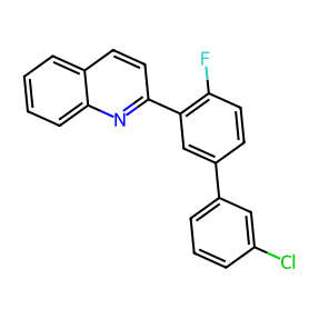 Fc1ccc(-c2cccc(Cl)c2)cc1-c1ccc2ccccc2n1